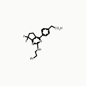 CC(C)CCNc1nc(-c2ccc(CC(=O)O)cc2)c2c(n1)C(F)(F)CC2